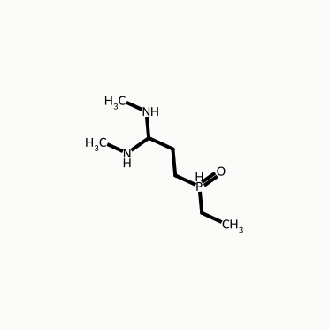 CC[PH](=O)CCC(NC)NC